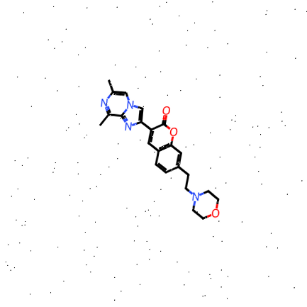 Cc1cn2cc(-c3cc4ccc(CCN5CCOCC5)cc4oc3=O)nc2c(C)n1